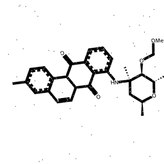 COCO[C@H]1[C@H](C)O[C@@H](C)C[C@@]1(C)Nc1cccc2c1C(=O)C1C=Cc3cc(C)ccc3C1C2=O